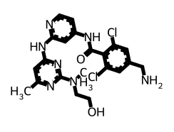 Cc1cc(Nc2cc(NC(=O)c3c(Cl)cc(CN)cc3Cl)ccn2)nc(N(C)CCO)n1